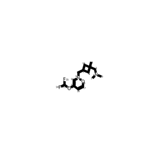 CN(C)CC1(C)CC(CN2C=C(OC(F)F)C=CO2)C1